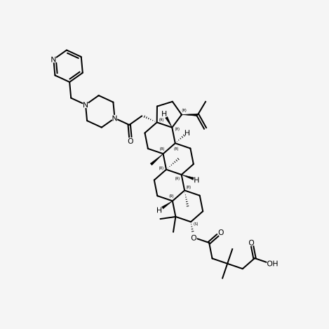 C=C(C)[C@@H]1CC[C@]2(CC(=O)N3CCN(Cc4cccnc4)CC3)CC[C@]3(C)[C@H](CC[C@@H]4[C@@]5(C)CC[C@H](OC(=O)CC(C)(C)CC(=O)O)C(C)(C)[C@@H]5CC[C@]43C)[C@@H]12